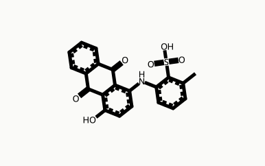 Cc1cccc(Nc2ccc(O)c3c2C(=O)c2ccccc2C3=O)c1S(=O)(=O)O